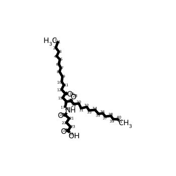 CCCCCCCCCCCCCC(=O)CC(CNC(=O)CCCC(=O)O)C(=O)CCCCCCCCCCCCC